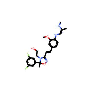 CN/C(C)=C\Nc1ccc(/C=C/C2=NOC(C)(c3cc(F)cc(F)c3)N2CCO)cc1OC